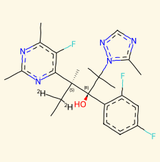 [2H]C([2H])(C)[C@@](C)(c1nc(C)nc(C)c1F)[C@@](O)(c1ccc(F)cc1F)C(C)(C)n1ncnc1C